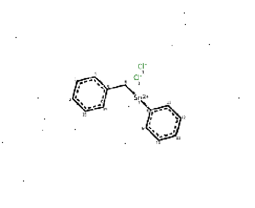 [Cl-].[Cl-].c1ccc([CH2][Sn+2][c]2ccccc2)cc1